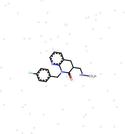 O=C(O)NCC1Cc2cccnc2N(Cc2ccc(F)cc2)C1=O